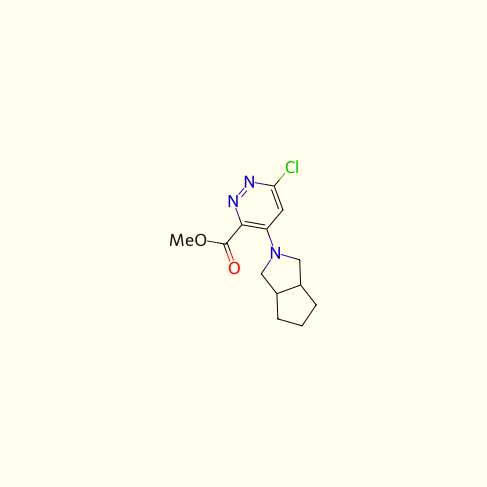 COC(=O)c1nnc(Cl)cc1N1CC2CCCC2C1